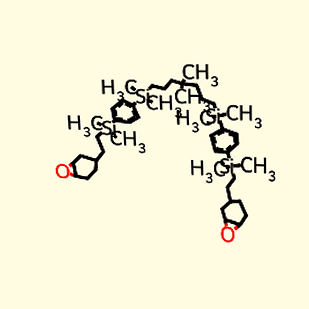 CC(C)(CCC[Si](C)(C)c1ccc([Si](C)(C)CCC2CCC3OC3C2)cc1)CCC[Si](C)(C)c1ccc([Si](C)(C)CCC2CCC3OC3C2)cc1